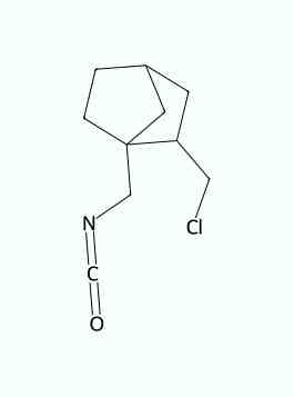 O=C=NCC12CCC(CC1CCl)C2